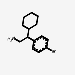 NCC(c1ccc(Br)cc1)C1CCCCC1